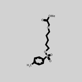 COC(=O)COCCCCCOS(=O)(=O)c1ccc(C)cc1